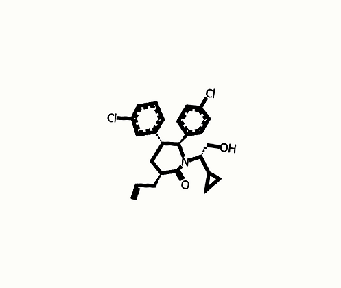 C=CC[C@H]1C[C@H](c2cccc(Cl)c2)[C@@H](c2ccc(Cl)cc2)N([C@H](CO)C2CC2)C1=O